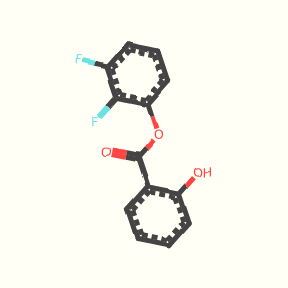 O=C(Oc1cccc(F)c1F)c1ccccc1O